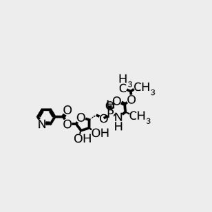 CC(C)OC(=O)[C@@H](C)N[PH](=O)OC[C@H]1OC(OC(=O)c2cccnc2)[C@H](O)[C@@H]1O